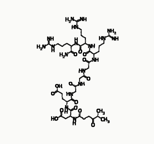 CC(C)C(=O)CCC(=O)NC(CC(=O)O)C(=O)NC(CCC(=O)O)C(=O)NCC(=O)NCC(=O)NCC(=O)NC(CCCNC(=N)N)C(=O)NC(CCCNC(=N)N)C(=O)NC(CCCNC(=N)N)C(N)=O